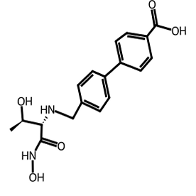 C[C@@H](O)[C@H](NCc1ccc(-c2ccc(C(=O)O)cc2)cc1)C(=O)NO